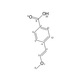 COC=Cc1ccc(C(=O)O)cc1